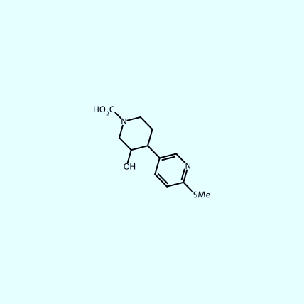 CSc1ccc(C2CCN(C(=O)O)CC2O)cn1